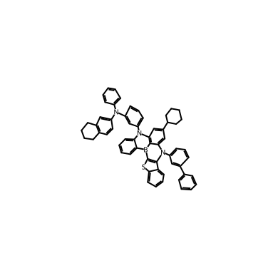 c1ccc(-c2cccc(N3c4cc(C5CCCCC5)cc5c4B(c4ccccc4N5c4cccc(N(c5ccccc5)c5ccc6c(c5)CCCC6)c4)c4sc5ccccc5c43)c2)cc1